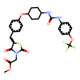 COC(=O)CN1C(=O)S/C(=C\c2ccc(OC3CCC(NC(=O)Nc4ccc(OC(F)(F)F)cc4)CC3)cc2)C1=O